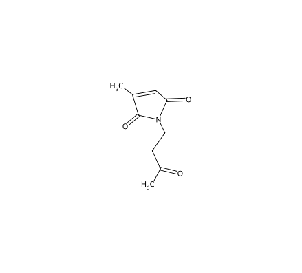 CC(=O)CCN1C(=O)C=C(C)C1=O